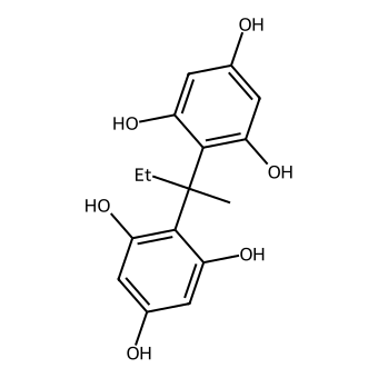 CCC(C)(c1c(O)cc(O)cc1O)c1c(O)cc(O)cc1O